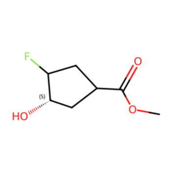 COC(=O)C1CC(F)[C@@H](O)C1